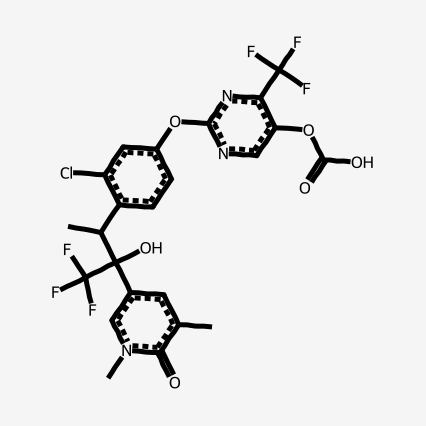 Cc1cc(C(O)(C(C)c2ccc(Oc3ncc(OC(=O)O)c(C(F)(F)F)n3)cc2Cl)C(F)(F)F)cn(C)c1=O